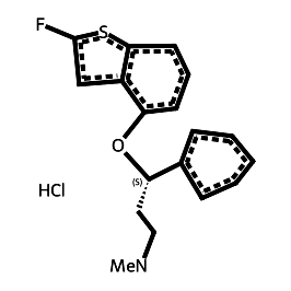 CNCC[C@H](Oc1cccc2sc(F)cc12)c1ccccc1.Cl